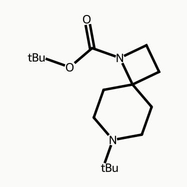 CC(C)(C)OC(=O)N1CCC12CCN(C(C)(C)C)CC2